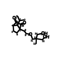 CC(C)C1C2CCC1(CCOCC(C)(CO)CO)C(=O)C2=O